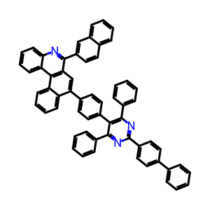 c1ccc(-c2ccc(-c3nc(-c4ccccc4)c(-c4ccc(-c5cc6c(-c7ccc8ccccc8c7)nc7ccccc7c6c6ccccc56)cc4)c(-c4ccccc4)n3)cc2)cc1